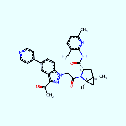 CC(=O)c1nn(CC(=O)N2[C@H](C(=O)Nc3nc(C)ccc3C)C[C@@]3(C)C[C@@H]23)c2ccc(-c3ccncc3)cc12